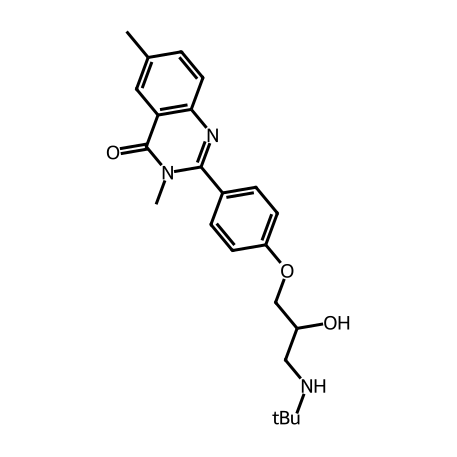 Cc1ccc2nc(-c3ccc(OCC(O)CNC(C)(C)C)cc3)n(C)c(=O)c2c1